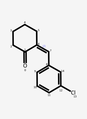 O=C1CCCC/C1=C/c1cccc(Cl)c1